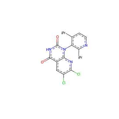 CC(C)c1ccnc(C(C)C)c1-n1c(=O)[nH]c(=O)c2cc(Cl)c(Cl)nc21